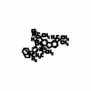 CC1=CC(C)(C23CC4CC(CC(C4)C2)C3)C=[C]1[Zr+2](=[C](C)C)[c]1cc(C(C)(C)C)cc2c1Cc1ccc(C(C)(C)C)cc1-2.[Cl-].[Cl-]